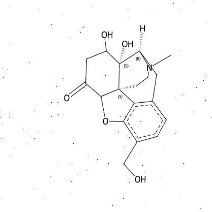 CN1CC[C@]23c4c5ccc(CO)c4OC2C(=O)CC(O)[C@@]3(O)[C@H]1C5